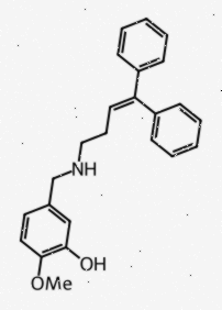 COc1ccc(CNCCC=C(c2ccccc2)c2ccccc2)cc1O